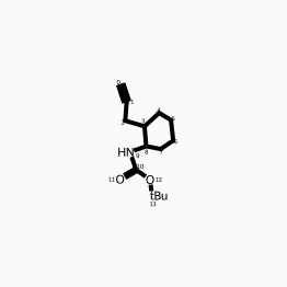 C#CCC1CCCCC1NC(=O)OC(C)(C)C